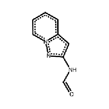 O=CNc1cc2ccccn2n1